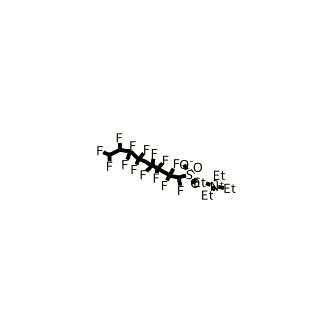 CC[N+](CC)(CC)CC.O=S(=O)([O-])C(F)C(F)(F)C(F)(F)C(F)(F)C(F)(F)C(F)(F)C(F)C(F)F